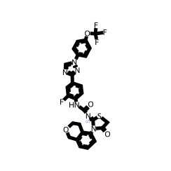 O=C(/N=C1\SCC(=O)N1c1cccc2c1CCOC2)Nc1ccc(-c2ncn(-c3ccc(OC(F)(F)F)cc3)n2)cc1F